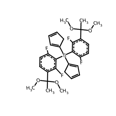 COC(C)(OC)c1ccc(F)[c]([Ti]([C]2=CC=CC2)([C]2=CC=CC2)[c]2c(F)ccc(C(C)(OC)OC)c2F)c1F